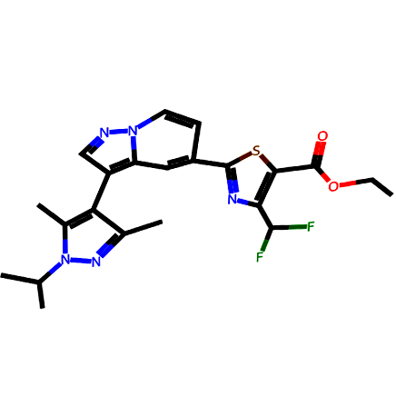 CCOC(=O)c1sc(-c2ccn3ncc(-c4c(C)nn(C(C)C)c4C)c3c2)nc1C(F)F